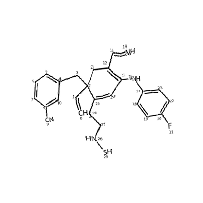 C=CC1(Cc2cccc(C#N)c2)CC(C=N)=C(Nc2ccc(F)cc2)C=C1CCNS